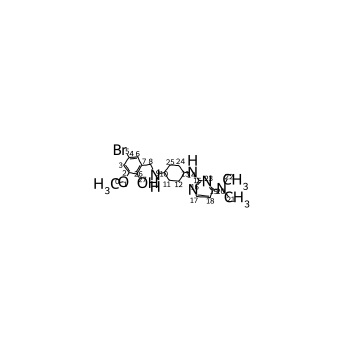 COc1cc(Br)cc(CNC2CCC(Nc3nccc(N(C)C)n3)CC2)c1O